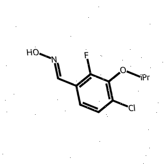 CC(C)Oc1c(Cl)ccc(/C=N/O)c1F